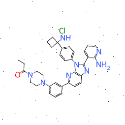 CCC(=O)N1CCN(c2cccc(-c3ccc4nc(-c5cccnc5N)n(-c5ccc(C6(NCl)CCC6)cc5)c4n3)c2)CC1